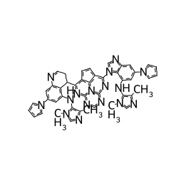 Cc1ncn(C)c1Nc1cc(-n2cccc2)cc2c1C(c1nc3ncnc4nc(-n5cnc6cc(-n7cccc7)cc(Nc7c(C)ncn7C)c65)c5ccc1c5n34)CC=N2